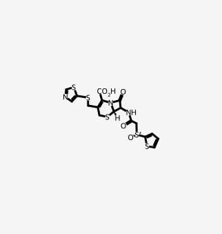 O=C(C[S+]([O-])c1cccs1)NC1C(=O)N2C(C(=O)O)=C(CSc3cncs3)CS[C@@H]12